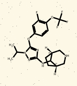 CC(C)n1nc(NC2[C@@H]3CC[C@H]2CNC3)nc1Oc1ccc(OC(F)(F)F)c(F)c1